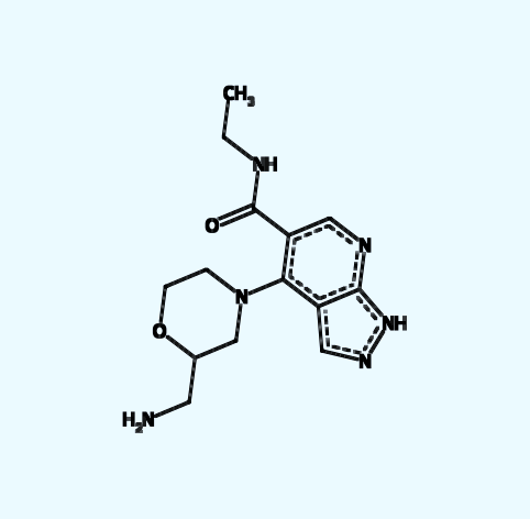 CCNC(=O)c1cnc2[nH]ncc2c1N1CCOC(CN)C1